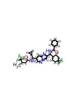 CC(CC(=O)N[C@@H](c1cnn2cc([C@@H](NC(=O)c3ccccc3)C3CCC(F)(F)CC3)nc2c1)C1CC1)C(F)(F)F